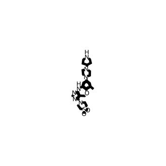 Cc1cc(N2CCN(C3CCNCC3)CC2)cc2c1OCc1c(ncnc1N1CCS(=O)(=O)CC1)N2